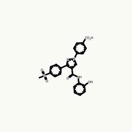 CS(=O)(=O)c1ccc(-c2nn(-c3ccc(C(=O)O)cc3)cc2C(=O)Nc2ccccc2O)cc1